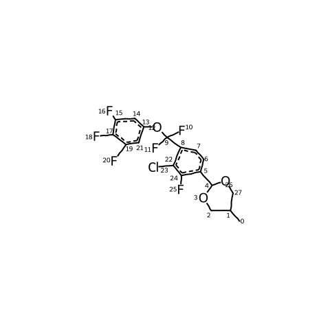 CC1COC(c2ccc(C(F)(F)Oc3cc(F)c(F)c(F)c3)c(Cl)c2F)OC1